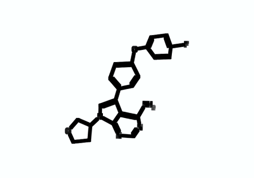 Nc1ncnc2c1c(-c1ccc(Oc3ccc(F)cc3)cc1)cn2C1CCOC1